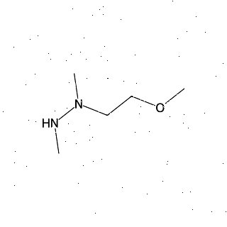 CNN(C)CCOC